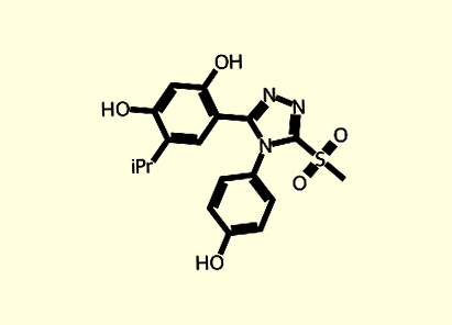 CC(C)c1cc(-c2nnc(S(C)(=O)=O)n2-c2ccc(O)cc2)c(O)cc1O